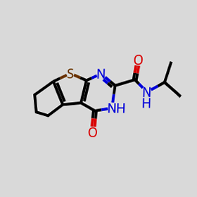 CC(C)NC(=O)c1nc2sc3c(c2c(=O)[nH]1)CCC3